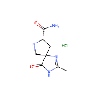 CC1=N[C@]2(CN[C@H](C(N)=O)C2)C(=O)N1.Cl